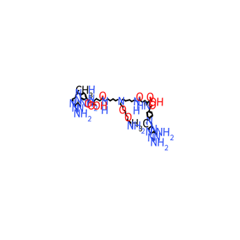 CN(Cc1cnc2nc(N)nc(N)c2n1)c1ccc(C(=O)NC(CCC(=O)NCCCCCN(CCCCCNC(=O)CC[C@H](NC(=O)c2ccc(N(C)Cc3cnc4nc(N)nc(N)c4n3)cc2)C(=O)O)CCOCCOCCN)C(=O)O)cc1